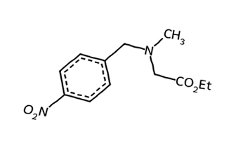 CCOC(=O)CN(C)Cc1ccc([N+](=O)[O-])cc1